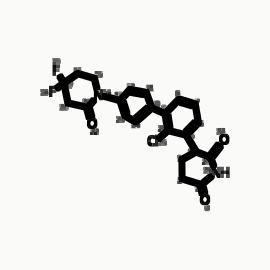 O=C1CCC(c2cccc(-c3ccc(N4CCC(F)(F)CC4=O)cc3)c2Cl)C(=O)N1